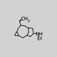 C=CC1CC2CC(CC(NCC)C2)CC2CC2C1